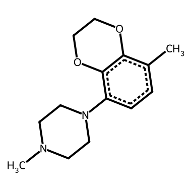 Cc1ccc(N2CCN(C)CC2)c2c1OCCO2